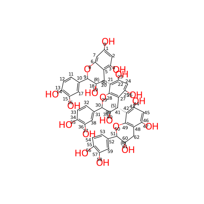 Oc1cc(O)c2c(c1)OC(c1ccc(O)c(O)c1)[C@H](O)[C@H]2c1c(O)cc(O)c2c1OC(c1ccc(O)c(O)c1)[C@H](O)[C@H]2c1c(O)cc(O)c2c1OC(c1ccc(O)c(O)c1)[C@H](O)C2